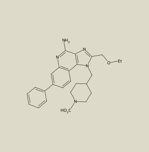 CCOCc1nc2c(N)nc3cc(-c4ccccc4)ccc3c2n1CC1CCN(C(=O)O)CC1